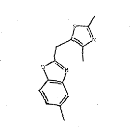 Cc1ccc2oc(Cc3sc(C)nc3C)nc2c1